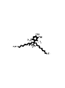 CCCCCCCCCCCCCCCCCCC(CCCCCCCCCCCCCCCCCC)(c1c(C)cc(C(C)(C)C)c(O)c1C)P(=O)(O)O